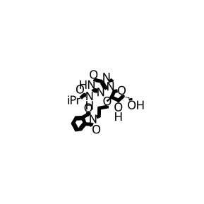 CC(C)C(=O)Nc1nc2c(ncn2[C@@H]2O[C@H](CO)[C@@H](O)[C@H]2OCCCN2C(=O)c3ccccc3C2=O)c(=O)[nH]1